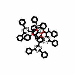 C\C=C/C(=C(/C(=N/C(=N)c1ccccc1)N(C)/C1=C/C=C/N(c2ccccc2)c2ccccc2B(c2ccccc2N(C)c2ccccc2)C1C)C(C)c1ccccc1)n1c2ccc(-c3nc(-c4ccccc4)nc(-c4ccccc4)n3)cc2c2cc(-c3nc(-c4ccccc4)nc(-c4ccccc4)n3)ccc21